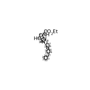 CCOC(=O)CNC(=O)c1nc(CC2CCN(c3ccc(Cc4ccccc4)cc3)CC2)nc(C)c1O